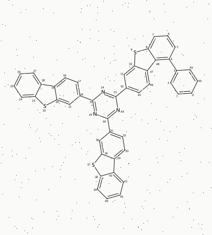 c1ccc(-c2cccc3sc4cc(-c5nc(-c6ccc7c(c6)sc6ccccc67)nc(-c6ccc7c(c6)sc6ccccc67)n5)ccc4c23)cc1